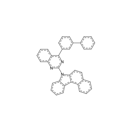 c1ccc(-c2cccc(-c3nc(-n4c5ccccc5c5c6ccccc6ccc54)nc4ccccc34)c2)cc1